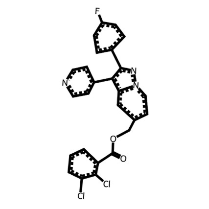 O=C(OCc1ccn2nc(-c3ccc(F)cc3)c(-c3ccncc3)c2c1)c1cccc(Cl)c1Cl